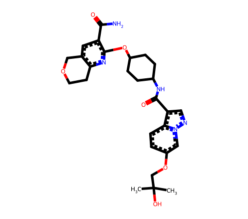 CC(C)(O)COc1ccc2c(C(=O)NC3CCC(Oc4nc5c(cc4C(N)=O)COCC5)CC3)cnn2c1